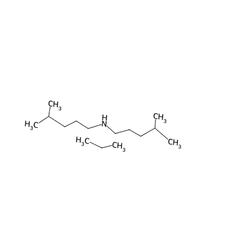 CC(C)CCCNCCCC(C)C.CCC